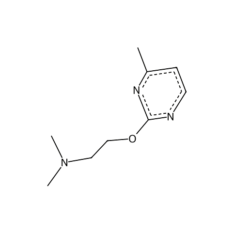 Cc1ccnc(OCCN(C)C)n1